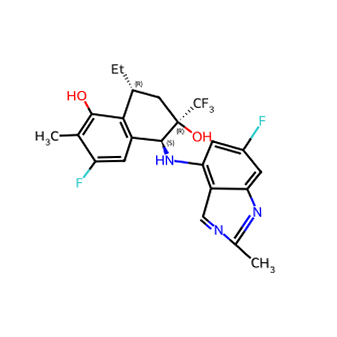 CC[C@@H]1C[C@](O)(C(F)(F)F)[C@@H](Nc2cc(F)cc3nc(C)ncc23)c2cc(F)c(C)c(O)c21